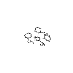 Cc1ccccc1-c1c(-c2ccccc2)c(O)nn1-c1ccccc1C